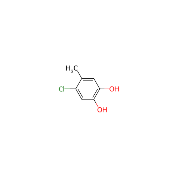 Cc1cc(O)c(O)cc1Cl